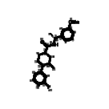 COc1cccc([C@@H](C)NC(=O)N2CCN(c3ccnc(F)c3)C(C)C2)c1